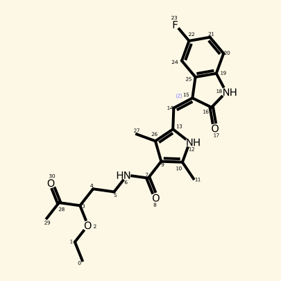 CCOC(CCNC(=O)c1c(C)[nH]c(/C=C2\C(=O)Nc3ccc(F)cc32)c1C)C(C)=O